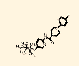 CC(C)(C)[Si](C)(C)Oc1ccc(NC(=O)N2CCN(c3ccc(F)cn3)CC2)nc1